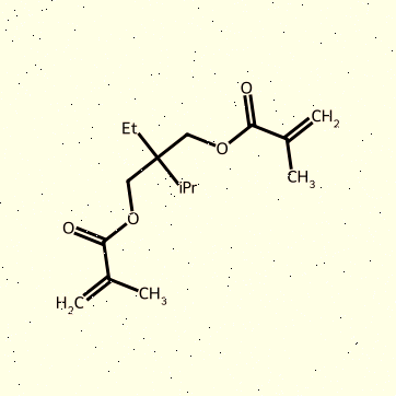 C=C(C)C(=O)OCC(CC)(COC(=O)C(=C)C)C(C)C